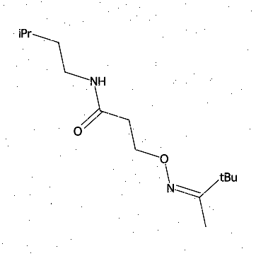 C/C(=N/OCCC(=O)NCCC(C)C)C(C)(C)C